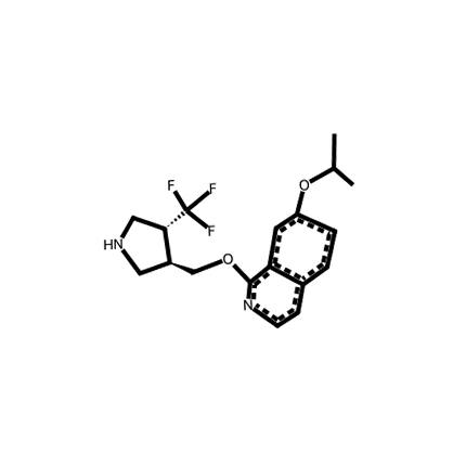 CC(C)Oc1ccc2ccnc(OC[C@H]3CNC[C@@H]3C(F)(F)F)c2c1